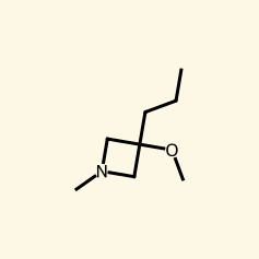 CCCC1(OC)CN(C)C1